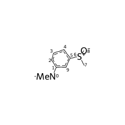 C[N]c1cccc([S+](C)[O-])c1